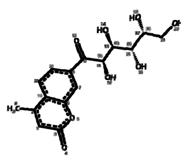 Cc1cc(=O)oc2cc(C(=O)[C@H](O)[C@@H](O)[C@@H](O)[C@H](O)CO)ccc12